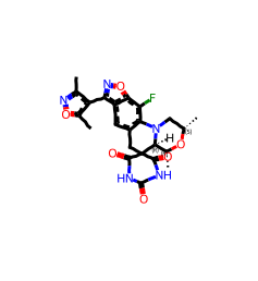 Cc1noc(C)c1-c1noc2c(F)c3c(cc12)CC1(C(=O)NC(=O)NC1=O)[C@@H]1[C@@H](C)O[C@@H](C)CN31